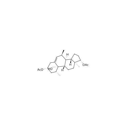 CC(=O)O[C@@H]1CC2=C[C@@H](C)[C@H]3[C@@H]4CC[C@H](OC(C)=O)[C@@]4(C)CC[C@@H]3[C@@]2(CO)[C@H](C)C1